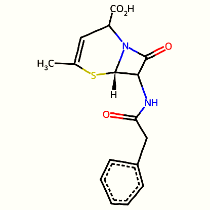 CC1=CC(C(=O)O)N2C(=O)C(NC(=O)Cc3ccccc3)[C@@H]2S1